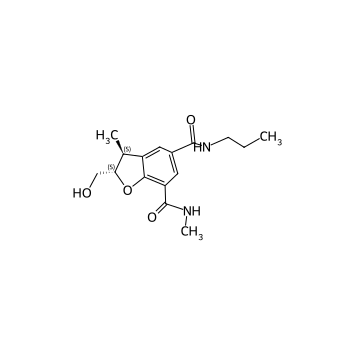 CCCNC(=O)c1cc(C(=O)NC)c2c(c1)[C@H](C)[C@@H](CO)O2